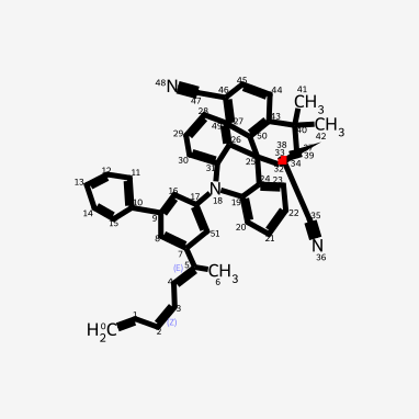 C=C/C=C\C=C(/C)c1cc(-c2ccccc2)cc(N2c3ccccc3C3(c4ccccc42)c2cc(C#N)ccc2C(C)(C)c2ccc(C#N)cc23)c1